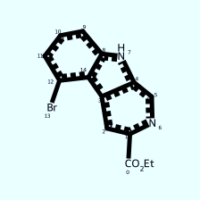 CCOC(=O)c1cc2c(cn1)[nH]c1cccc(Br)c12